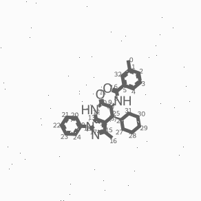 Cc1cccc(C(=O)N[C@@H]2C(=O)Nc3c(c(C)nn3-c3ccccc3)[C@@H]2C2CCCCC2)c1